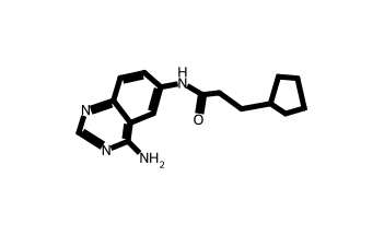 Nc1ncnc2ccc(NC(=O)CCC3CCCC3)cc12